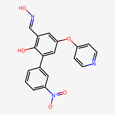 O=[N+]([O-])c1cccc(-c2cc(Oc3ccncc3)cc(/C=N/O)c2O)c1